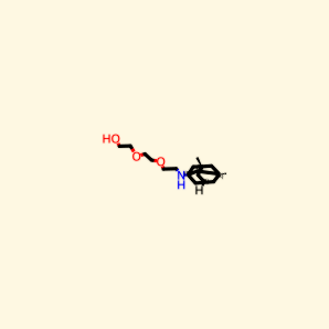 C[C@]12C[C@@H]3C[C@](C)(C1)C[C@](NCCOCCOCCO)(C3)C2